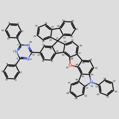 c1ccc(-c2nc(-c3ccccc3)nc(-c3ccc4c(c3)C3(c5ccccc5-c5ccccc53)c3ccc5c(oc6c5ccc5c6c6ccccc6n5-c5ccccc5)c3-4)n2)cc1